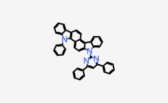 c1ccc(-c2cc(-c3ccccc3)nc(-n3c4ccccc4c4c5ccc6c7ccccc7n(-c7ccccc7)c6c5ccc43)n2)cc1